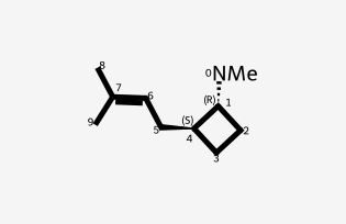 CN[C@@H]1CC[C@H]1CC=C(C)C